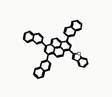 c1ccc2cc(-c3cc(-c4ccc5ccccc5c4)c4ccc5c(-c6cc7ccccc7o6)cc(-c6ccc7ccccc7c6)c6ccc3c4c65)ccc2c1